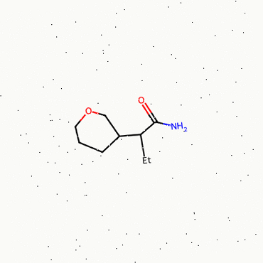 CCC(C(N)=O)C1CCCOC1